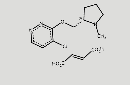 CN1CCC[C@H]1COc1nnccc1Cl.O=C(O)C=CC(=O)O